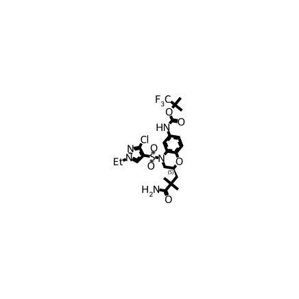 CCn1cc(S(=O)(=O)N2C[C@H](CC(C)(C)C(N)=O)Oc3ccc(NC(=O)OC(C)(C)C(F)(F)F)cc32)c(Cl)n1